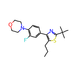 CCCc1sc(C(C)(C)C)nc1-c1ccc(N2CCOCC2)c(F)c1